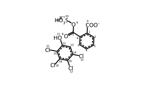 O=C([O-])c1ccccc1C(=O)OS(=O)(=O)O.Oc1cc(Cl)c(Cl)c(Cl)c1Cl.[K+]